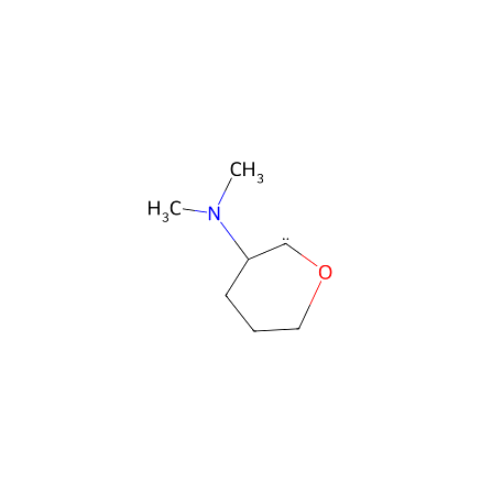 CN(C)C1[C]OCCC1